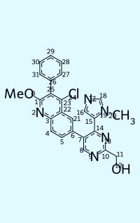 COc1nc2ccc(-c3cnc(CO)nc3-c3cncn3C)cc2c(Cl)c1-c1ccccc1